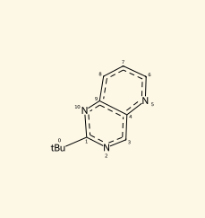 CC(C)(C)c1ncc2ncccc2n1